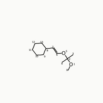 COC(C)(C)OC=CC1CCCCC1